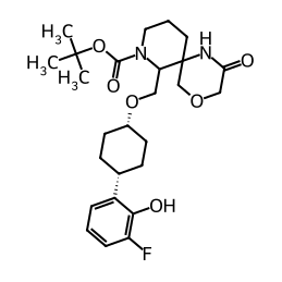 CC(C)(C)OC(=O)N1CCCC2(COCC(=O)N2)C1CO[C@H]1CC[C@@H](c2cccc(F)c2O)CC1